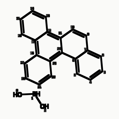 OBO.c1ccc2c(c1)ccc1c3ccccc3c3ccccc3c21